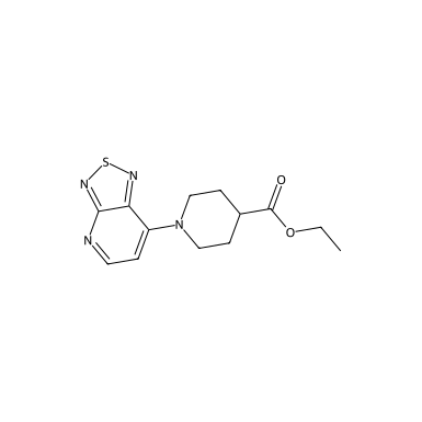 CCOC(=O)C1CCN(c2ccnc3nsnc23)CC1